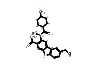 COC(=O)c1cc2oc3ccc(CCl)cc3c2cc1N(C(=O)C1CCC(C)CC1)C(C)C